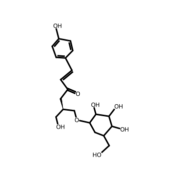 O=C(/C=C/c1ccc(O)cc1)C[C@H](CO)COC1CC(CO)C(O)C(O)C1O